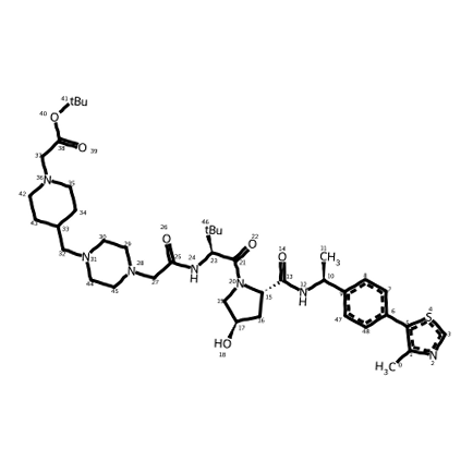 Cc1ncsc1-c1ccc([C@H](C)NC(=O)[C@@H]2C[C@@H](O)CN2C(=O)[C@@H](NC(=O)CN2CCN(CC3CCN(CC(=O)OC(C)(C)C)CC3)CC2)C(C)(C)C)cc1